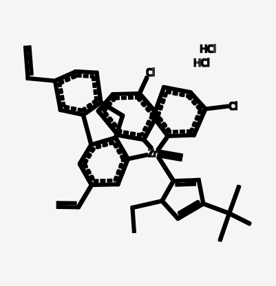 C=Cc1ccc2c(c1)-c1cc(C=C)c[c]([Zr](=[CH2])([C]3=CC(C(C)(C)C)=CC3CC)([c]3cccc(Cl)c3)[c]3cccc(Cl)c3)c1C2.Cl.Cl